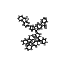 CC1(C)c2ccccc2-c2ccc(-c3ccc4c(c3)c3cc5c(cc3n4-c3ccc(N(c4ccccc4)c4ccc6c(c4)C4(c7ccccc7-c7ccccc74)c4ccccc4-6)cc3)C(C)(C)c3ccccc3-5)cc21